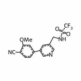 COc1cc(-c2cncc(CNS(=O)(=O)C(F)(F)F)c2)ccc1C#N